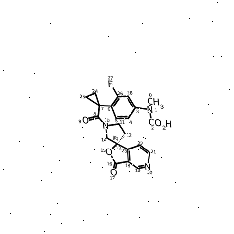 CN(C(=O)O)c1ccc(C2(C(=O)N3CC[C@@]4(C3)OC(=O)c3cnccc34)CC2)c(F)c1